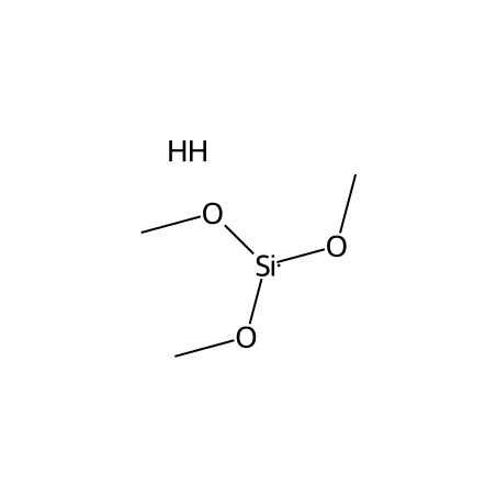 CO[Si](OC)OC.[HH]